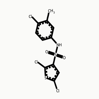 Cc1cc(NS(=O)(=O)c2cc(Cl)sc2Cl)ccc1Cl